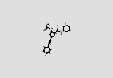 NC(=O)Nc1cc(C#Cc2ccncc2)sc1C(=O)N[C@H]1CCCNC1